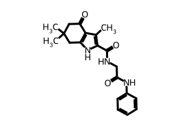 Cc1c(C(=O)NCC(=O)Nc2ccccc2)[nH]c2c1C(=O)CC(C)(C)C2